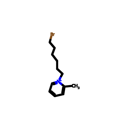 Cc1cccc[n+]1CCCCCCBr